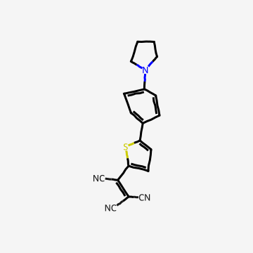 N#CC(C#N)=C(C#N)c1ccc(-c2ccc(N3CCCC3)cc2)s1